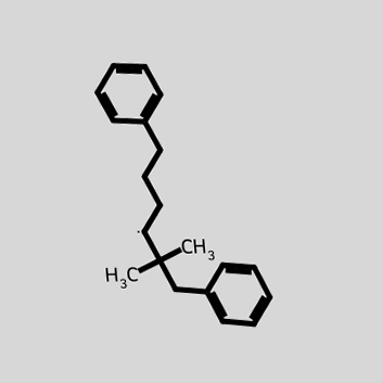 CC(C)([CH]CCCc1ccccc1)Cc1ccccc1